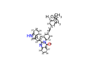 Cc1cc(C#Cc2ccc(C(C)(C)C)cc2)ccc1-n1c(C=Cc2c[nH]c3ccccc23)nc2ccccc2c1=O